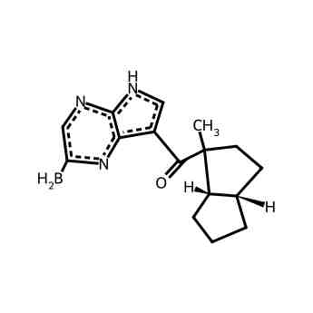 Bc1cnc2[nH]cc(C(=O)C3(C)CC[C@@H]4CCC[C@@H]43)c2n1